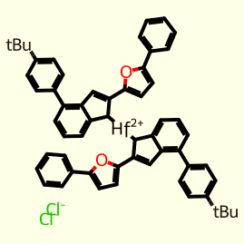 CC(C)(C)c1ccc(-c2cccc3c2C=C(c2ccc(-c4ccccc4)o2)[CH]3[Hf+2][CH]2C(c3ccc(-c4ccccc4)o3)=Cc3c(-c4ccc(C(C)(C)C)cc4)cccc32)cc1.[Cl-].[Cl-]